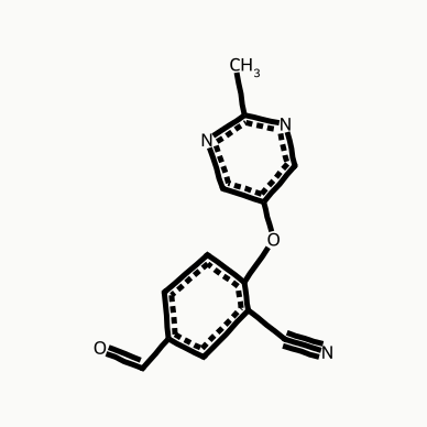 Cc1ncc(Oc2ccc(C=O)cc2C#N)cn1